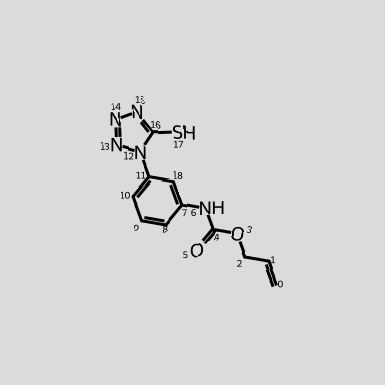 C=CCOC(=O)Nc1cccc(-n2nnnc2S)c1